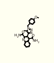 COc1ccc(Cn2nnc(-c3c(C(N)=O)nc4ccccc4c3C(N)=O)c2C)cc1